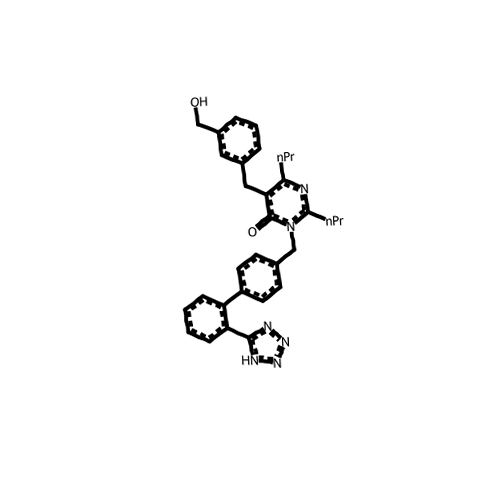 CCCc1nc(CCC)n(Cc2ccc(-c3ccccc3-c3nnn[nH]3)cc2)c(=O)c1Cc1cccc(CO)c1